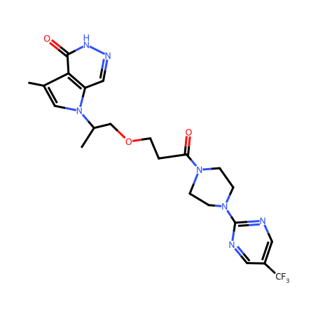 Cc1cn(C(C)COCCC(=O)N2CCN(c3ncc(C(F)(F)F)cn3)CC2)c2cn[nH]c(=O)c12